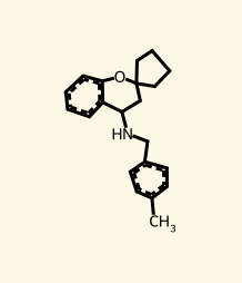 Cc1ccc(CNC2CC3(CCCC3)Oc3ccccc32)cc1